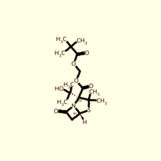 CC(C)(C)C(=O)OCOC(=O)[C@]1(C(C)(C)O)N2C(=O)C[C@H]2SC1(C)C